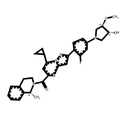 CO[C@@H]1CN(c2ccc(-c3cc4nc(C(=O)N5CCc6ccccc6[C@H]5C)cc(C5CC5)n4n3)c(F)c2)C[C@H]1O